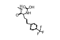 CNC(=O)C(CC=Cc1ccc(C(F)(F)F)cc1)NC(=O)O